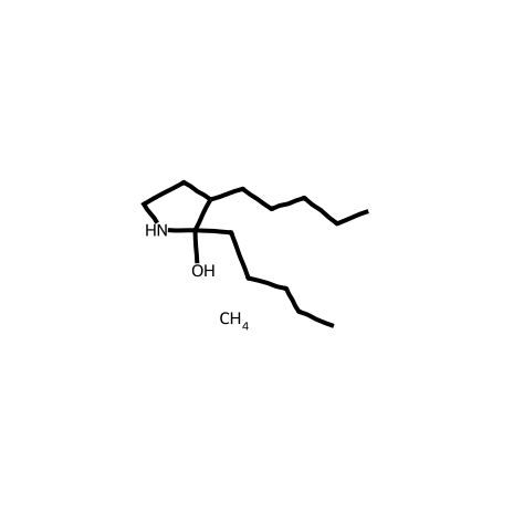 C.CCCCCC1CCNC1(O)CCCCC